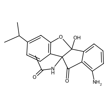 CC(=O)NC12C(=O)c3c(N)cccc3C1(O)Oc1cc(C(C)C)ccc12